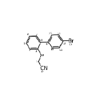 N#CCCc1ccccc1-c1ccc(Br)cc1